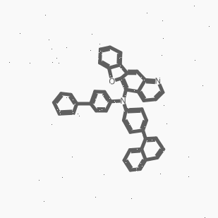 c1ccc(-c2ccc(N(c3ccc(-c4cccc5ccccc45)cc3)c3c4cccnc4cc4c3oc3ccccc34)cc2)cc1